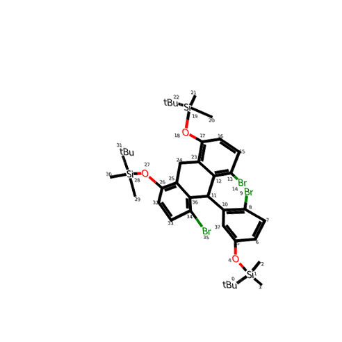 CC(C)(C)[Si](C)(C)Oc1ccc(Br)c(C2c3c(Br)ccc(O[Si](C)(C)C(C)(C)C)c3Cc3c(O[Si](C)(C)C(C)(C)C)ccc(Br)c32)c1